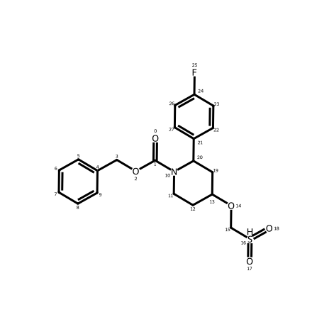 O=C(OCc1ccccc1)N1CCC(OC[SH](=O)=O)CC1c1ccc(F)cc1